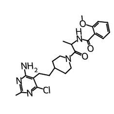 COc1ccccc1C(=O)NC(C)C(=O)N1CCC(CCc2c(N)nc(C)nc2Cl)CC1